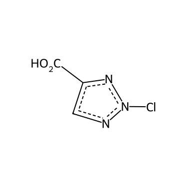 O=C(O)c1cnn(Cl)n1